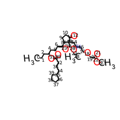 CCCCCC(C=C[C@H]1CCC(=O)[C@]1(C/C=C/COCC(=O)OC)C(=O)OCC)OC(=O)CCCC1CCCC1